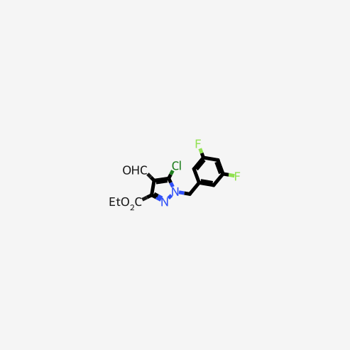 CCOC(=O)c1nn(Cc2cc(F)cc(F)c2)c(Cl)c1C=O